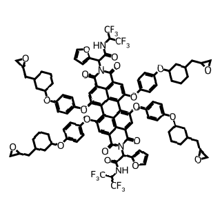 O=C(NC(C(F)(F)F)C(F)(F)F)C(c1ccco1)N1C(=O)c2cc(Oc3ccc(OC4CCCC(CC5CO5)C4)cc3)c3c4c(Oc5ccc(OC6CCCC(CC7CO7)C6)cc5)cc5c6c(cc(Oc7ccc(OC8CCCC(CC9CO9)C8)cc7)c(c7c(Oc8ccc(OC9CCCC(CC%10CO%10)C9)cc8)cc(c2c37)C1=O)c64)C(=O)N(C(C(=O)NC(C(F)(F)F)C(F)(F)F)c1ccco1)C5=O